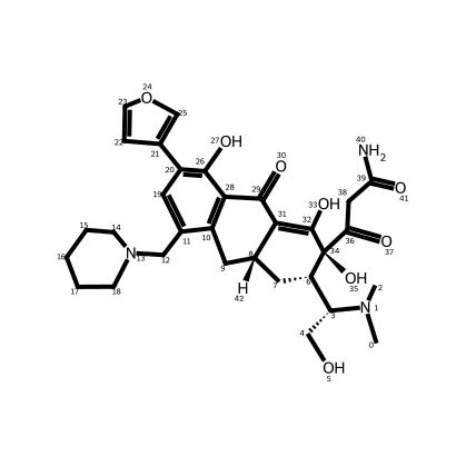 CN(C)[C@H](CO)[C@@H]1C[C@@H]2Cc3c(CN4CCCCC4)cc(-c4ccoc4)c(O)c3C(=O)C2=C(O)[C@]1(O)C(=O)CC(N)=O